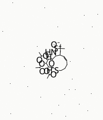 CC(=O)O[C@@H]1[C@H](OC(C)=O)[C@@H](OC(C)=O)[C@@H]2O[C@@H]1[C@H](N[S@+]([O-])C(C)(C)C)C(C)C=CCCCS2